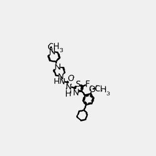 COc1ccc(C2CCCCC2)cc1-c1nc(NC(=O)NN2CCN(C3CCN(C)CC3)CC2)sc1F